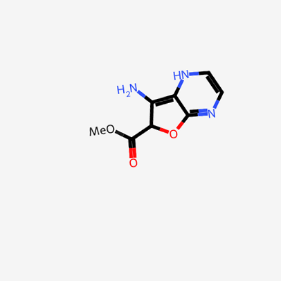 COC(=O)C1OC2=NC=CNC2=C1N